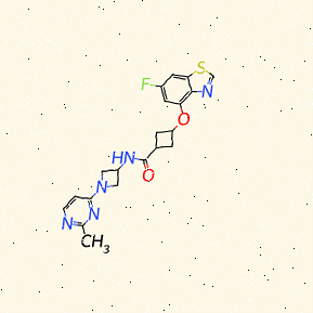 Cc1nccc(N2CC(NC(=O)C3CC(Oc4cc(F)cc5scnc45)C3)C2)n1